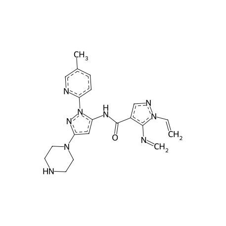 C=Cn1ncc(C(=O)Nc2cc(N3CCNCC3)nn2-c2ccc(C)cn2)c1N=C